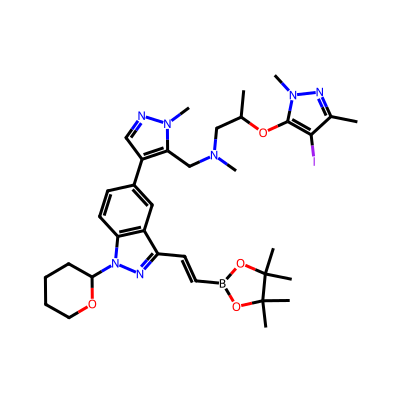 Cc1nn(C)c(OC(C)CN(C)Cc2c(-c3ccc4c(c3)c(/C=C/B3OC(C)(C)C(C)(C)O3)nn4C3CCCCO3)cnn2C)c1I